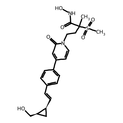 CC(CCn1ccc(-c2ccc(/C=C/[C@H]3C[C@H]3CO)cc2)cc1=O)(C(=O)NO)S(C)(=O)=O